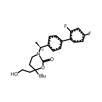 C[C@@H](c1ccc(-c2ccc(F)cc2F)cc1)N1CCC(CCO)(C(C)(C)C)OC1=O